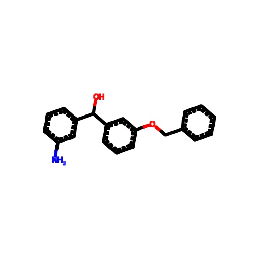 Nc1cccc(C(O)c2cccc(OCc3ccccc3)c2)c1